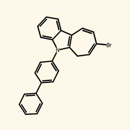 BrC1=CCc2c(c3ccccc3n2-c2ccc(-c3ccccc3)cc2)C=C1